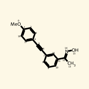 COc1ccc(C#Cc2cccc(C(C)=NO)c2)cc1